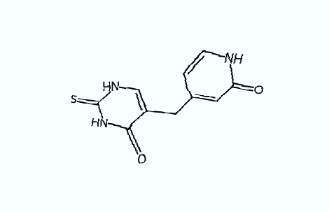 O=c1cc(Cc2c[nH]c(=S)[nH]c2=O)cc[nH]1